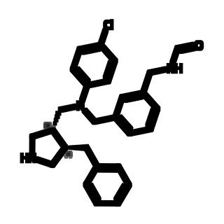 O=CNCc1cccc(CN(C[C@H]2CNC[C@@H]2Cc2ccccc2)c2ccc(Cl)cc2)c1